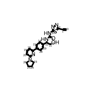 C#Cc1nnc(NC(=O)NC(CO)c2ccc(-c3cccc(N4CCCC4)n3)cc2)s1